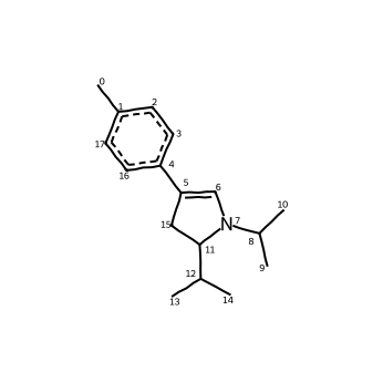 Cc1ccc(C2=CN(C(C)C)C(C(C)C)C2)cc1